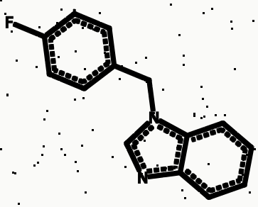 Fc1[c]cc(Cn2cnc3ccccc32)cc1